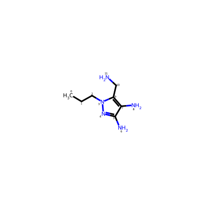 CCCn1nc(N)c(N)c1CN